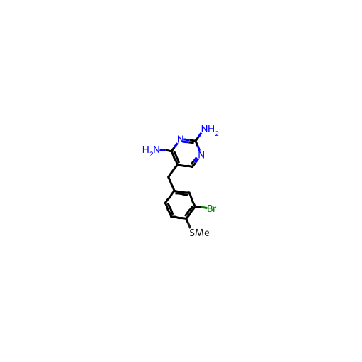 CSc1ccc(Cc2cnc(N)nc2N)cc1Br